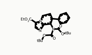 CCOC(=O)c1cnc2c(N(C(=O)OC(C)(C)C)C(=O)OC(C)(C)C)c(-c3ccccc3)ccn12